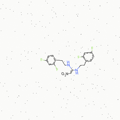 O=[N+]([O-])C=C(NCCc1ccc(F)cc1F)NCCc1ccc(F)cc1F